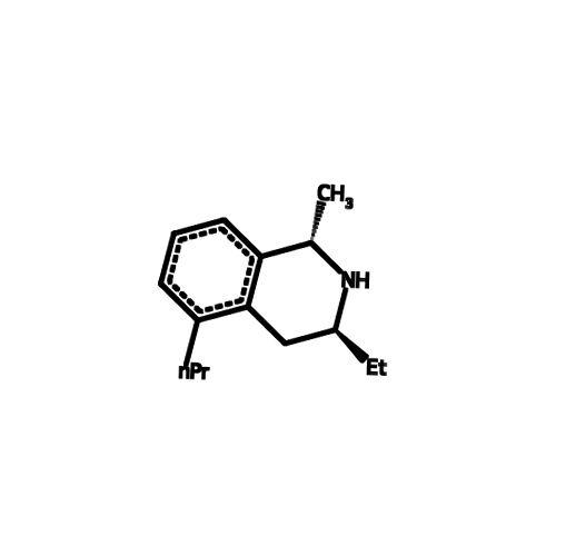 CCCc1cccc2c1C[C@H](CC)N[C@H]2C